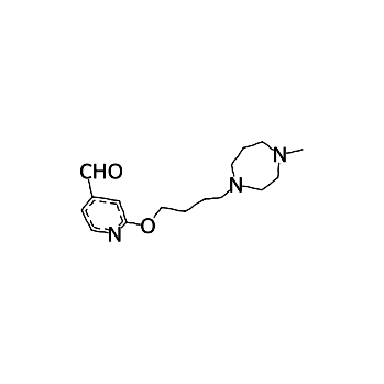 CN1CCCN(CCCCOc2cc(C=O)ccn2)CC1